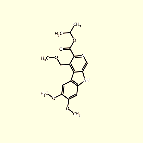 COCc1c(C(=O)OC(C)C)ncc2[nH]c3cc(OC)c(OC)cc3c12